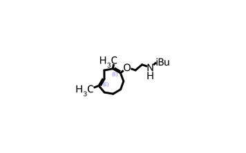 CCC(C)NCCO/C1=C(\C)C/C=C(\C)CCCC1